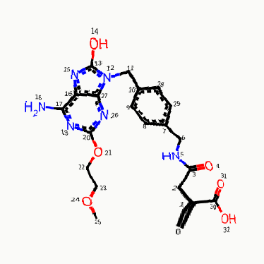 C=C(CC(=O)NCc1ccc(Cn2c(O)nc3c(N)nc(OCCOC)nc32)cc1)C(=O)O